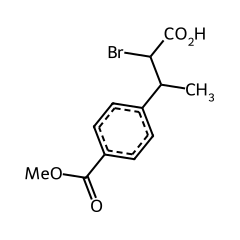 COC(=O)c1ccc(C(C)C(Br)C(=O)O)cc1